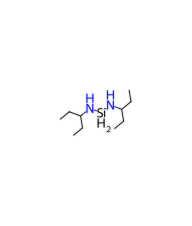 CCC(CC)N[SiH2]NC(CC)CC